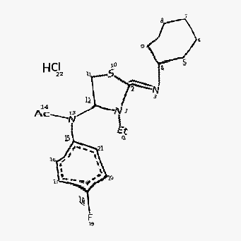 CCN1C(=NC2CCCCC2)SCC1N(C(C)=O)c1ccc(F)cc1.Cl